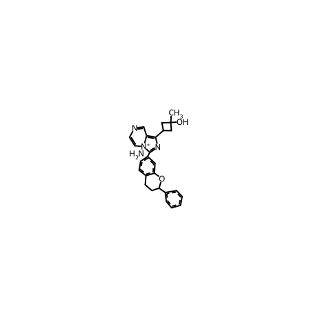 CC1(O)CC(C2=C3C=NC=C[N+]3(N)C(c3ccc4c(c3)OC(c3ccccc3)CC4)=N2)C1